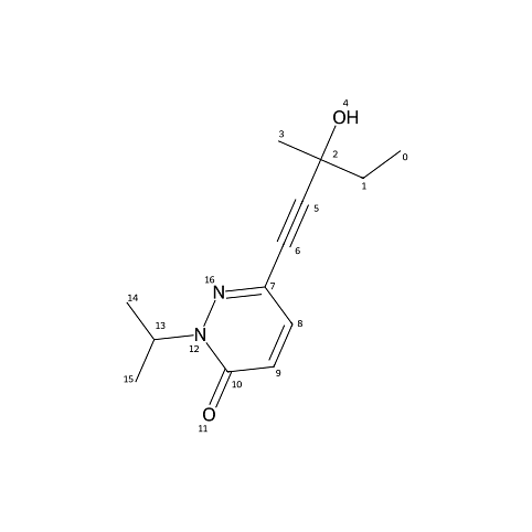 CCC(C)(O)C#Cc1ccc(=O)n(C(C)C)n1